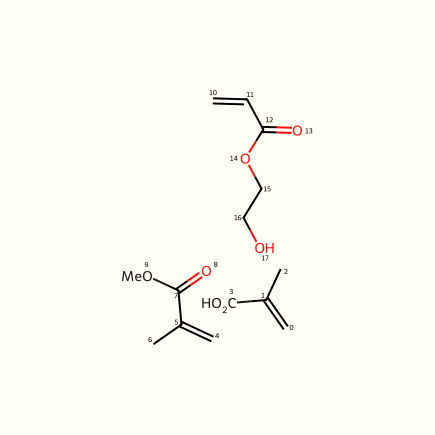 C=C(C)C(=O)O.C=C(C)C(=O)OC.C=CC(=O)OCCO